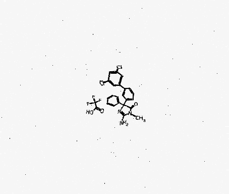 CN1C(=O)C(c2ccccc2)(c2cccc(-c3cc(Cl)cc(Cl)c3)c2)N=C1N.O=C(O)C(F)(F)F